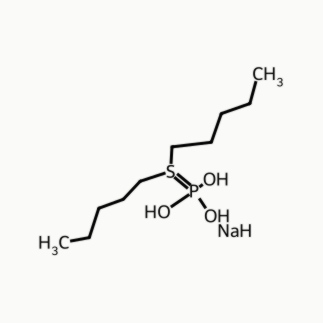 CCCCCS(CCCCC)=P(O)(O)O.[NaH]